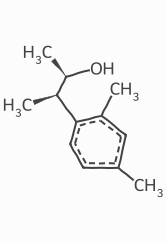 Cc1ccc([C@@H](C)[C@@H](C)O)c(C)c1